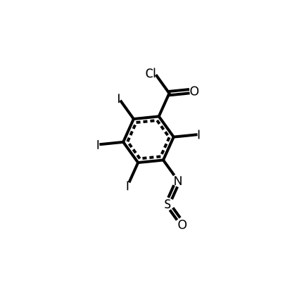 O=S=Nc1c(I)c(I)c(I)c(C(=O)Cl)c1I